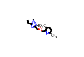 C=Cc1nc(COCc2nc(C(F)(F)F)ccc2C(=O)O)nn1C